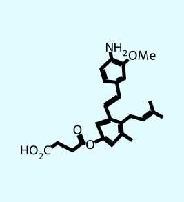 COc1cc(/C=C/c2cc(OC(=O)CCC(=O)O)cc(C)c2CC=C(C)C)ccc1N